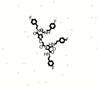 O=C(NCCc1ccc(F)cc1)C1CN(C(=O)CON2CC(C(=O)NCCc3ccc(F)cc3)[C@H](C(=O)NCCc3ccc(F)cc3)C2)CC1C(=O)NCCc1ccc(F)cc1